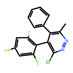 Cc1nnc(Cl)c(-c2c(F)cc(F)cc2F)c1-c1ccccc1